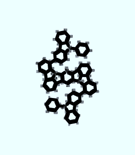 c1ccc(-n2c3ccccc3c3cc(-c4cccc5c6cccc7c8nc9c(cc8n(c45)c67)c4cccc5c6cccc(-c7ccc8c(c7)c7ccccc7n8-c7ccccc7)c6n9c45)ccc32)cc1